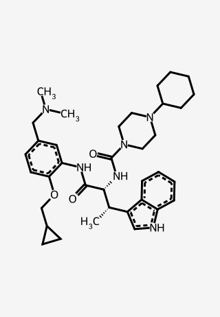 C[C@@H](c1c[nH]c2ccccc12)[C@@H](NC(=O)N1CCN(C2CCCCC2)CC1)C(=O)Nc1cc(CN(C)C)ccc1OCC1CC1